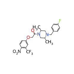 CC1CN(C(=O)COc2ccc([N+](=O)[O-])c(C(F)(F)F)c2)C(C)CN1Cc1ccc(F)cc1